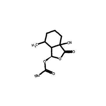 CC1CCCC2(C#N)C(=O)O[C@@H](OC(=O)C(C)(C)C)C12